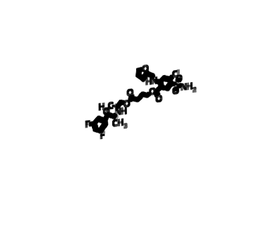 C[C@H](COC(=O)CCCOC(=O)c1cc(S(N)(=O)=O)c(Cl)cc1NCc1ccco1)N[C@H](C)C(=O)c1cc(F)cc(F)c1